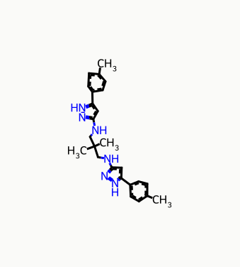 Cc1ccc(-c2cc(NCC(C)(C)CNc3cc(-c4ccc(C)cc4)[nH]n3)n[nH]2)cc1